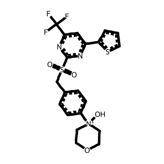 O=S(=O)(Cc1ccc([N+]2(O)CCOCC2)cc1)c1nc(-c2cccs2)cc(C(F)(F)F)n1